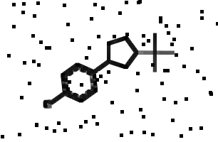 CC(C)(C)C1CCC(c2ccc(Cl)cc2)C1